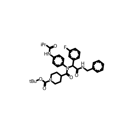 CC(C)C(=O)Nc1ccc(N(C(=O)C2CCN(C(=O)OC(C)(C)C)CC2)C(C(=O)NCc2ccccc2)c2cccc(F)c2)cc1